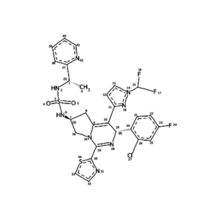 C[C@H](NS(=O)(=O)N[C@H]1CC2=C(c3ccn(C(F)F)n3)[C@H](c3ccc(F)cc3Cl)N=C(c3nccs3)N2C1)c1ccccn1